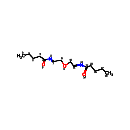 CCCCC(=O)N=CCOCC=NC(=O)CCCC